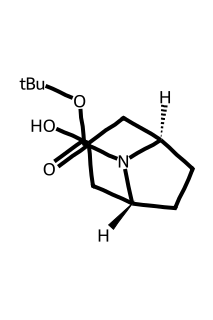 CC(C)(C)OC(=O)N1[C@@H]2CC[C@@H]1CC(O)C2